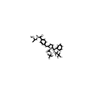 COC(C)CN(C)C(=O)c1ccc(CC2CCC([C@H](O[Si](C)(C)C(C)(C)C)c3ccccc3)N2C(=O)OC(C)(C)C)cc1